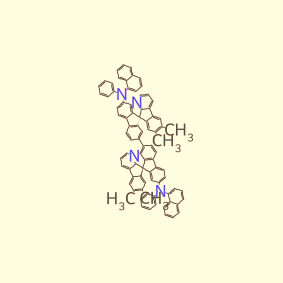 Cc1cc2c(cc1C)[C@]1(c3cc(-c4ccc5c(c4)[C@@]4(c6cc(N(c7ccccc7)c7cccc8ccccc78)ccc6-5)c5cc(C)c(C)cc5-c5cccnc54)ccc3-c3ccc(N(c4ccccc4)c4cccc5ccccc45)cc31)c1ncccc1-2